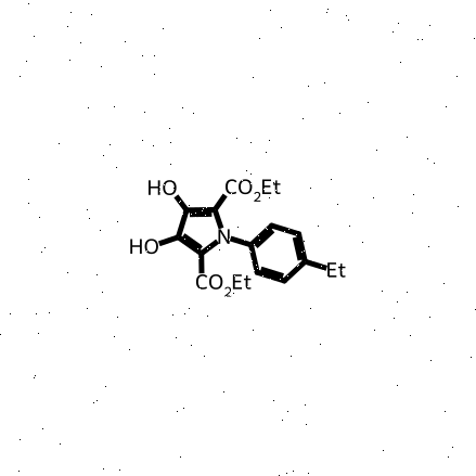 CCOC(=O)c1c(O)c(O)c(C(=O)OCC)n1-c1ccc(CC)cc1